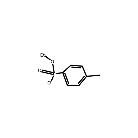 CCOP(=O)(Cl)c1ccc(C)cc1